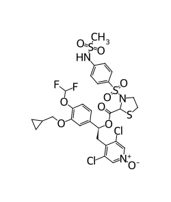 CS(=O)(=O)Nc1ccc(S(=O)(=O)N2CCSC2C(=O)O[C@@H](Cc2c(Cl)c[n+]([O-])cc2Cl)c2ccc(OC(F)F)c(OCC3CC3)c2)cc1